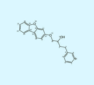 OC(CCc1cccnc1)COc1ccc2c(c1)oc1ccccc12